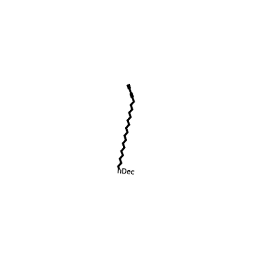 C#CC#CCCCCCCCCCCCCCCCCCCCCCCCCCCCC